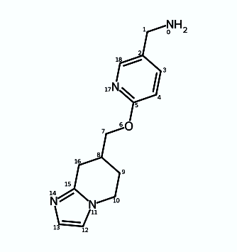 NCc1ccc(OCC2CCn3ccnc3C2)nc1